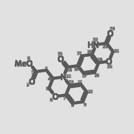 COC(=O)CC1COc2ccccc2N1C(=O)c1ccc2c(c1)NC(=O)CO2